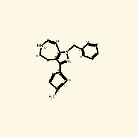 FC(F)(F)c1ccc(-c2nn(Cc3ccccc3)c3c2CCNC=C3)cc1